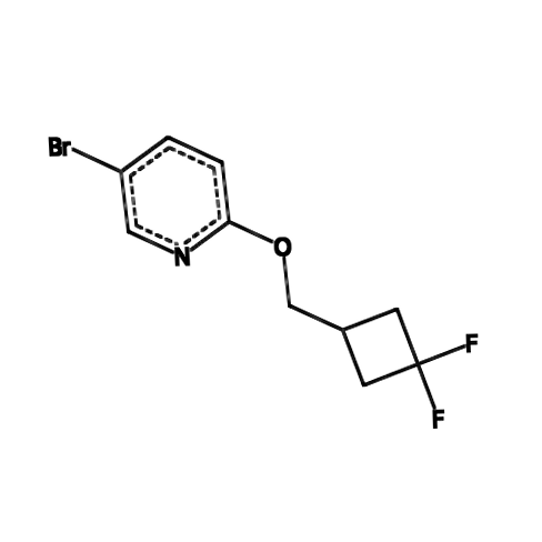 FC1(F)CC(COc2ccc(Br)cn2)C1